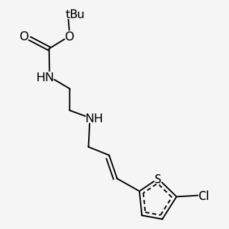 CC(C)(C)OC(=O)NCCNCC=Cc1ccc(Cl)s1